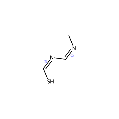 C/N=C\N=C/S